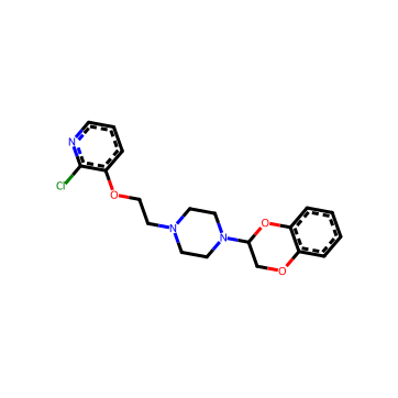 Clc1ncccc1OCCN1CCN(C2COc3ccccc3O2)CC1